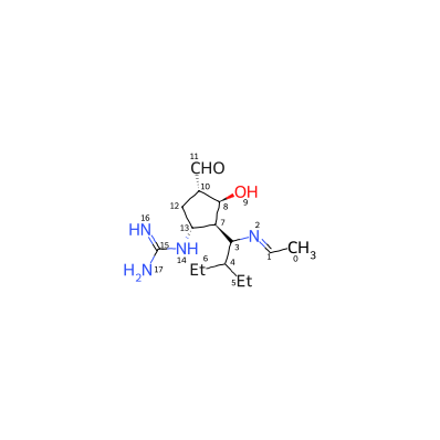 C/C=N/C(C(CC)CC)[C@@H]1[C@H](O)[C@@H](C=O)C[C@H]1NC(=N)N